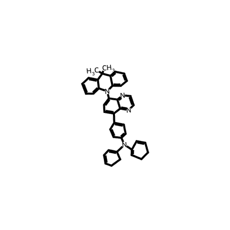 CC1(C)c2ccccc2N(c2ccc(-c3ccc(N(C4=CCCC=C4)C4=CC=CCC4)cc3)c3nccnc23)c2ccccc21